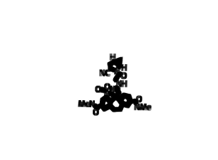 CNC(=O)c1ccc2c(c1)CCc1cc(C(=O)NC)ccc1C2(CCNCC(=O)N1C(C#N)C[C@@H]2C[C@@H]21)c1nc(=O)o[nH]1